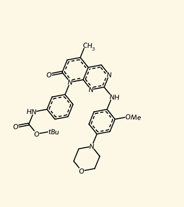 COc1cc(N2CCOCC2)ccc1Nc1ncc2c(C)cc(=O)n(-c3cccc(NC(=O)OC(C)(C)C)c3)c2n1